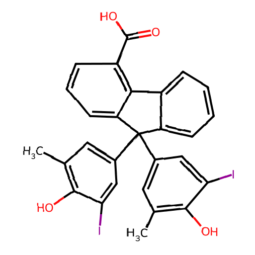 Cc1cc(C2(c3cc(C)c(O)c(I)c3)c3ccccc3-c3c(C(=O)O)cccc32)cc(I)c1O